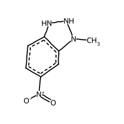 CN1NNc2ccc([N+](=O)[O-])cc21